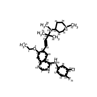 CCOc1cc2ncnc(Nc3ccc(F)c(Cl)c3)c2cc1C#CC(C)(C)N(C)C1CCN(C)CC1